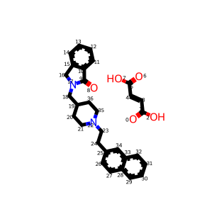 O=C(O)C=CC(=O)O.O=C1c2ccccc2CN1CC1CCN(CCc2ccc3ccccc3c2)CC1